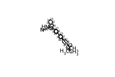 CC(C)(C)OC(=O)N1CCN(c2ccc(-c3ccc(SCC4CCCCC4C(=O)NCC#N)cc3)cc2)CC1